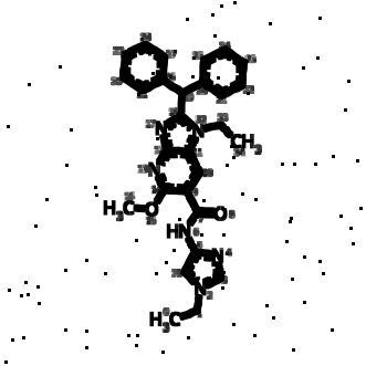 CCn1cnc(NC(=O)c2cc3c(nc2OC)nc(C(c2ccccc2)c2ccccc2)n3CC)c1